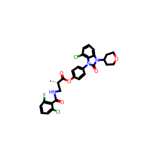 C[C@@H](CNC(=O)c1c(F)cccc1Cl)C(=O)Oc1ccc(-n2c(=O)n(C3CCOCC3)c3cccc(Cl)c32)cc1